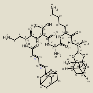 C[C@@H](O)[C@H](NC(=O)[C@H](CCN)NC(=O)/C=C/C=C/C12CC3CC(CC(C3)C1)C2)C(=O)N[C@@H](N)C(=O)N[C@@H](CCCCN)C(=O)N[C@@H](N)B1OC2C[C@@H]3C[C@@H](C3(C)C)[C@]2(C)O1